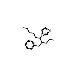 CCCCCC(C(CCC)Cc1ccccc1)n1ccnc1